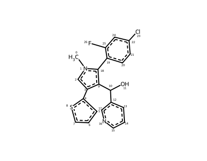 Cn1cc(-c2cccs2)c(C(O)c2cccnc2)c1-c1ccc(Cl)cc1F